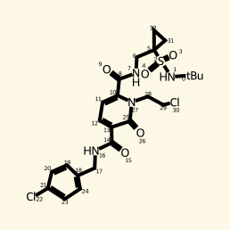 CC(C)(C)NS(=O)(=O)C1(CNC(=O)c2ccc(C(=O)NCc3ccc(Cl)cc3)c(=O)n2CCCl)CC1